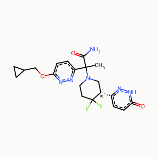 CC(C(N)=O)(c1ccc(OCC2CC2)nn1)N1CCC(F)(F)[C@@H](c2ccc(=O)[nH]n2)C1